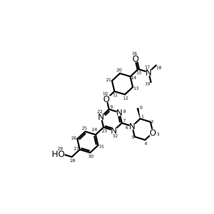 C[C@H]1COCCN1c1nc(OC2CCC(C(=O)N(C)C)CC2)nc(-c2ccc(CO)cc2)n1